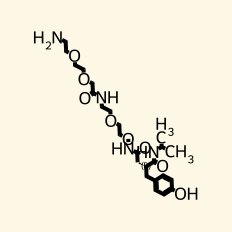 CC(C)NC(=O)[C@@H](CC(=O)NOCCOCCNC(=O)COCCOCCN)Cc1ccc(O)cc1